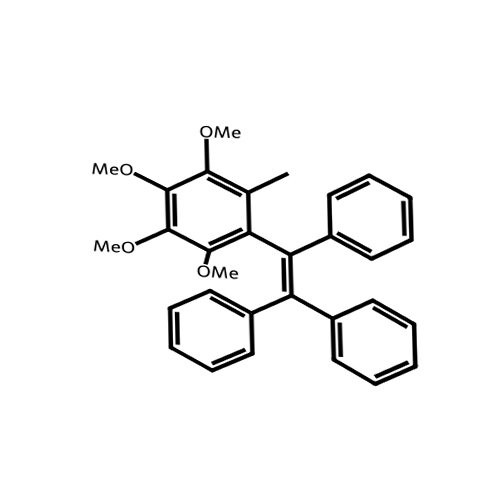 COc1c(C)c(C(=C(c2ccccc2)c2ccccc2)c2ccccc2)c(OC)c(OC)c1OC